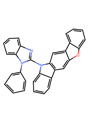 c1ccc(-n2c(-n3c4ccccc4c4cc5oc6ccccc6c5cc43)nc3ccccc32)cc1